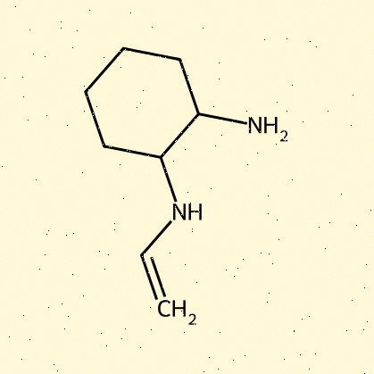 C=CNC1CCCCC1N